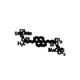 CCC(C)(CCOC(C)(CC)CCCc1ccc2ccc3c(CCCC(C)(CC)OCCC(C)(CC)OC)ccc4ccc1c2c43)OC